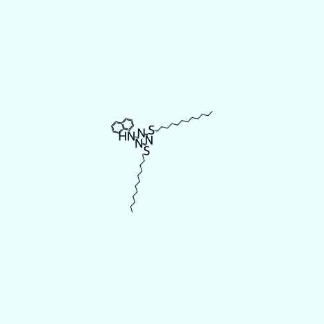 CCCCCCCCCCCCSc1nc(Nc2cccc3ccccc23)nc(SCCCCCCCCCCCC)n1